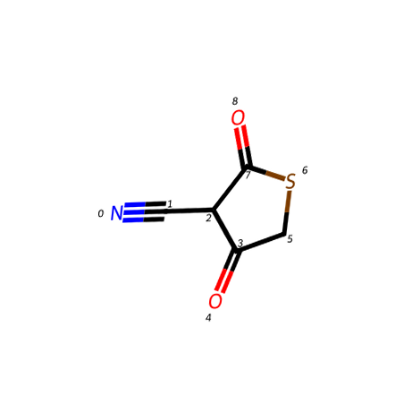 N#CC1C(=O)CSC1=O